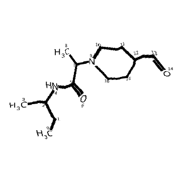 CCC(C)NC(=O)C(C)N1CCC(C=O)CC1